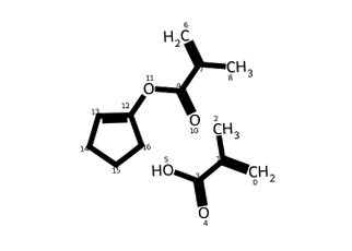 C=C(C)C(=O)O.C=C(C)C(=O)OC1=CCCC1